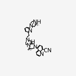 C[C@@H]1CN(c2cccc(CCN3CCN4[C@@H](C3)CN(c3ccc(C#N)c5ncccc35)C[C@H]4C)n2)CCN1